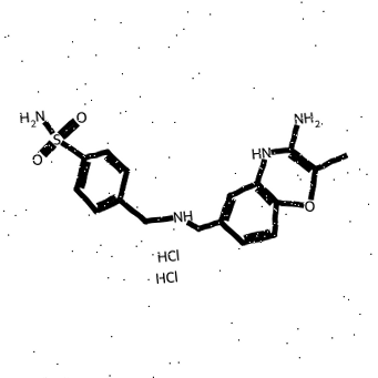 CC1=C(N)Nc2cc(CNCc3ccc(S(N)(=O)=O)cc3)ccc2O1.Cl.Cl